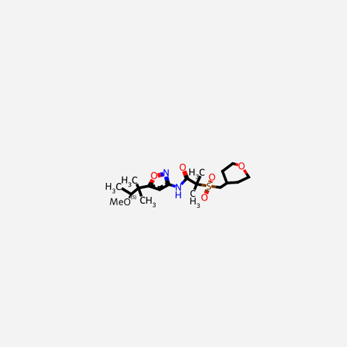 CO[C@@H](C)C(C)(C)c1cc(NC(=O)C(C)(C)S(=O)(=O)CC2CCOCC2)no1